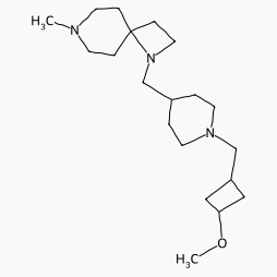 COC1CC(CN2CCC(CN3CCC34CCN(C)CC4)CC2)C1